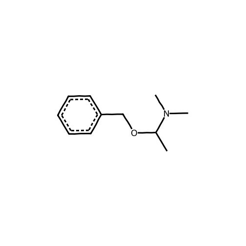 CC(OCc1ccccc1)N(C)C